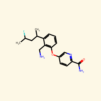 CC(F)CC(C)c1cccc(Oc2ccc(C(N)=O)nc2)c1CN